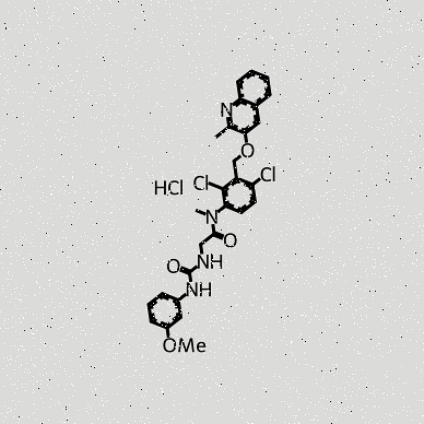 COc1cccc(NC(=O)NCC(=O)N(C)c2ccc(Cl)c(COc3cc4ccccc4nc3C)c2Cl)c1.Cl